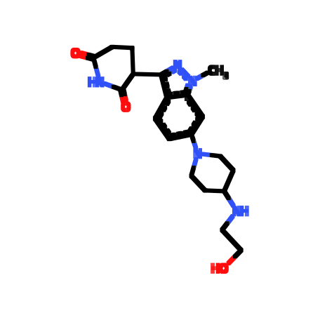 Cn1nc(C2CCC(=O)NC2=O)c2ccc(N3CCC(NCCO)CC3)cc21